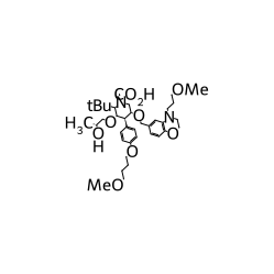 COCCCCOc1ccc([C@@H]2[C@@H](OCc3ccc4c(c3)N(CCCOC)CCO4)CN(C(=O)O)C(C(C)(C)C)[C@H]2OC[C@@H](C)O)cc1